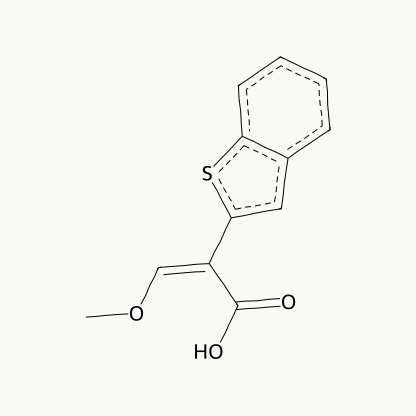 COC=C(C(=O)O)c1cc2ccccc2s1